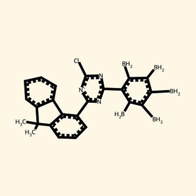 Bc1c(B)c(B)c(-c2nc(Cl)nc(-c3cccc4c3-c3ccccc3C4(C)C)n2)c(B)c1B